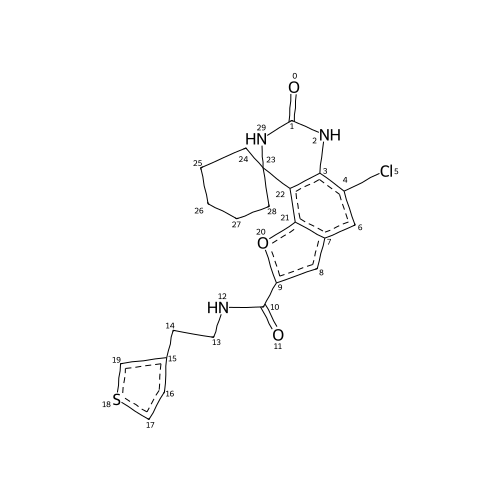 O=C1Nc2c(Cl)cc3cc(C(=O)NCCc4ccsc4)oc3c2C2(CCCCC2)N1